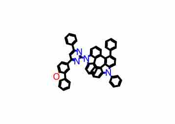 c1ccc(-c2cc(-c3ccc4oc5ccccc5c4c3)nc(-n3c4ccccc4c4c(-c5c(-c6ccccc6)ccc6c5c5ccccc5n6-c5ccccc5)cccc43)n2)cc1